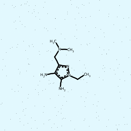 CCn1nc(CN(C)C)c(N)c1N